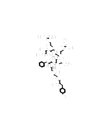 CSCC[C@H](NC(=O)[C@H](Cc1ccccc1)NC(=O)CNC(=O)CNC(=O)[C@@H](N)Cc1ccc(O)cc1)C(=O)N[C@@H](CCCN=C(N)N)C(=O)N[C@@H](CCCN=C(N)N)C(=O)N[C@H](C(N)=O)C(C)C